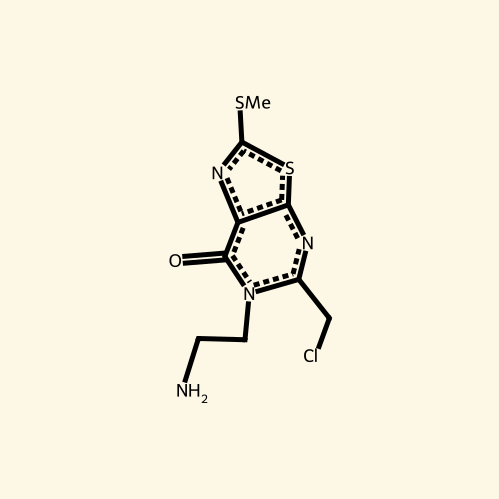 CSc1nc2c(=O)n(CCN)c(CCl)nc2s1